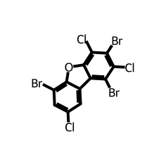 Clc1cc(Br)c2oc3c(Cl)c(Br)c(Cl)c(Br)c3c2c1